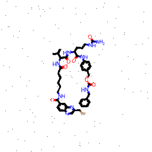 CC(C)C(NC(=O)CCCCCNC(=O)c1ccc2ncc(CBr)nc2c1)C(=O)NC(CCCNC(N)=O)C(=O)Nc1ccc(COC(=O)NCc2ccccc2)cc1